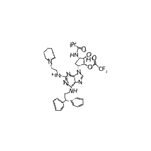 CC(C)C(=O)N[C@H]1C[C@@H](n2cnc3c(NCC(c4ccccc4)c4ccccc4)nc(NCCN4CCCCC4)nc32)[C@H](OC(=O)C(F)(F)F)[C@@H]1O